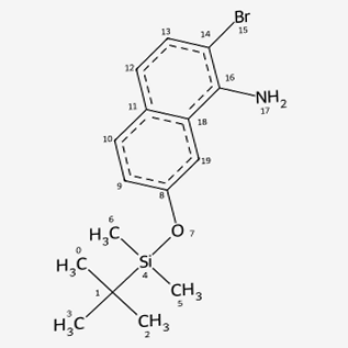 CC(C)(C)[Si](C)(C)Oc1ccc2ccc(Br)c(N)c2c1